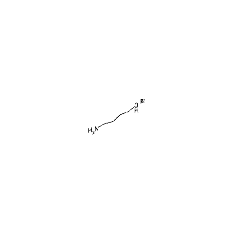 NCCO.[B]